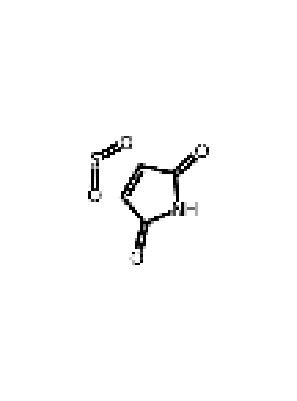 O=C1C=CC(=O)N1.O=S=O